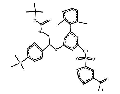 Cc1cccc(C)c1-c1cc(OC(CNC(=O)OC(C)(C)C)c2ccc([Si](C)(C)C)cc2)nc(NS(=O)(=O)c2cccc(C(=O)O)c2)n1